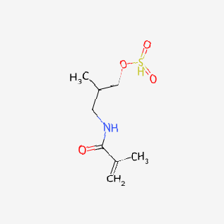 C=C(C)C(=O)NCC(C)CO[SH](=O)=O